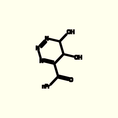 CCCC(=O)C1=NN=NC(O)C1O